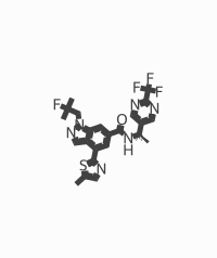 Cc1cnc(-c2cc(C(=O)N[C@H](C)c3cnc(C(F)(F)F)nc3)cc3c2cnn3CC(C)(C)F)s1